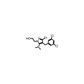 CCc1nn(CCO)c(N(C)C)c1Cc1cc(Cl)cc(Cl)c1